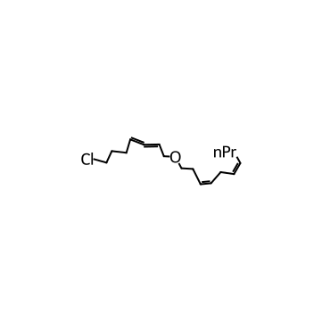 CCC/C=C\C/C=C\CCOCC=C=CCCCCl